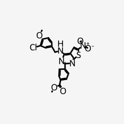 COC(=O)c1ccc(-c2nc(NCc3ccc(OC)c(Cl)c3)c3cc([N+](=O)[O-])sc3n2)cc1